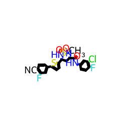 CN1C(C(=O)Nc2ccc(F)c(Cl)c2)CC(c2ccc(-c3ccc(C#N)c(F)c3)s2)NS1(=O)=O